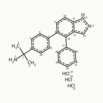 CC(C)(N)c1ccc(-c2ccc3[nH]ncc3c2-c2cccnc2)cc1.Cl.Cl.Cl